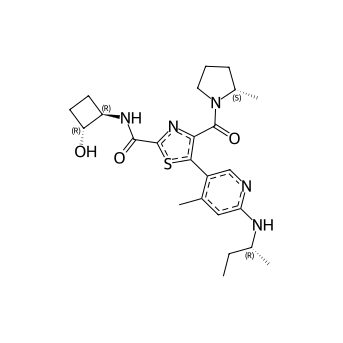 CC[C@@H](C)Nc1cc(C)c(-c2sc(C(=O)N[C@@H]3CC[C@H]3O)nc2C(=O)N2CCC[C@@H]2C)cn1